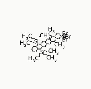 CCC[Si](CCC)(CCC)c1c2ccccc2c([Si](CCC)(CCC)CCC)c2cc3cc4c(C)c5cc([Si](Br)(Br)Br)ccc5c(C)c4cc3cc12